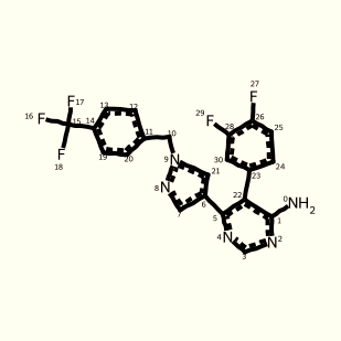 Nc1ncnc(-c2cnn(Cc3ccc(C(F)(F)F)cc3)c2)c1-c1ccc(F)c(F)c1